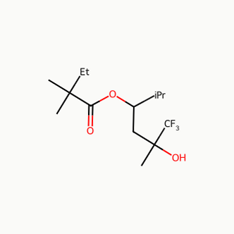 CCC(C)(C)C(=O)OC(CC(C)(O)C(F)(F)F)C(C)C